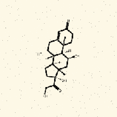 C[C@]12CCC(=O)C=C1CC[C@@H]1[C@@H]2[C@@H](O)C[C@@]2(C)[C@H]1CC[C@]2(O)C(=O)CO.F